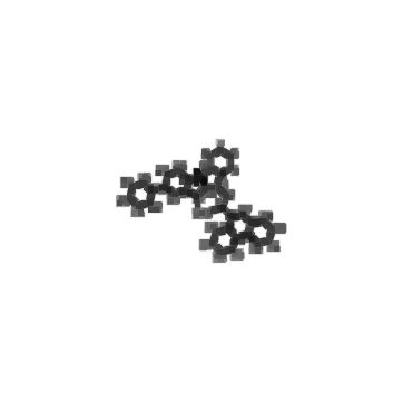 C=C(/C=c1/c2ccccc2n2c1c(C)c1cc(-c3ccccc3)ccc12)c1cc2ccccc2c2ccccc12